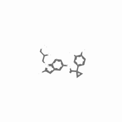 CC(C)(C)c1cc2cc(NC(=O)C3(c4ccc(O)c(O)c4)CC3)ccc2n1CC(N)CC#N